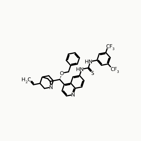 C=CC1CN2CCC1CC2[C@H](OCc1ccccc1)c1ccnc2ccc(NC(=S)Nc3cc(C(F)(F)F)cc(C(F)(F)F)c3)cc12